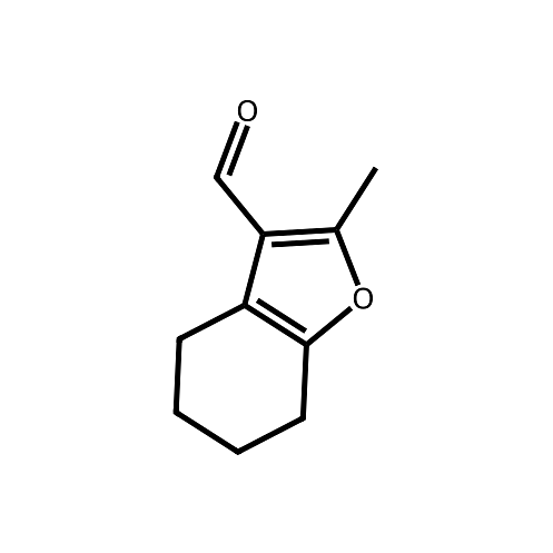 Cc1oc2c(c1C=O)CCCC2